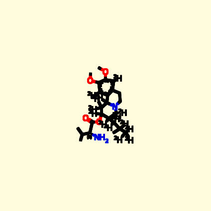 [2H]c1c2c(c([2H])c(OC)c1OC)C1([2H])N(CC2)C([2H])([2H])C([2H])(C([2H])([2H])C([2H])(C)C([2H])([2H])[2H])C([2H])(OC(=O)[C@@H](N)C(C)C)C1([2H])[2H]